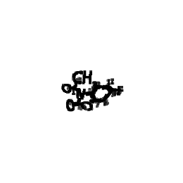 CC(=O)n1c(=O)oc2cc(F)ccc21